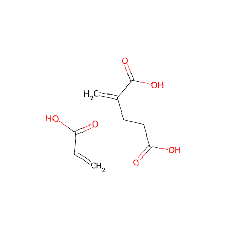 C=C(CCC(=O)O)C(=O)O.C=CC(=O)O